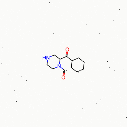 O=[C]N1CCNCC1C(=O)C1CCCCC1